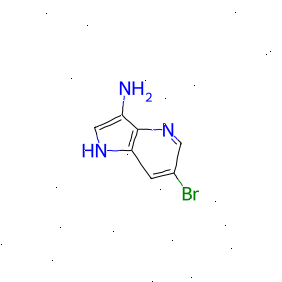 Nc1c[nH]c2cc(Br)cnc12